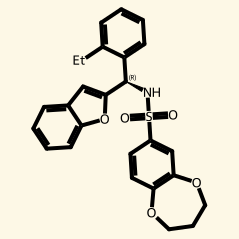 CCc1ccccc1[C@@H](NS(=O)(=O)c1ccc2c(c1)OCCCO2)c1cc2ccccc2o1